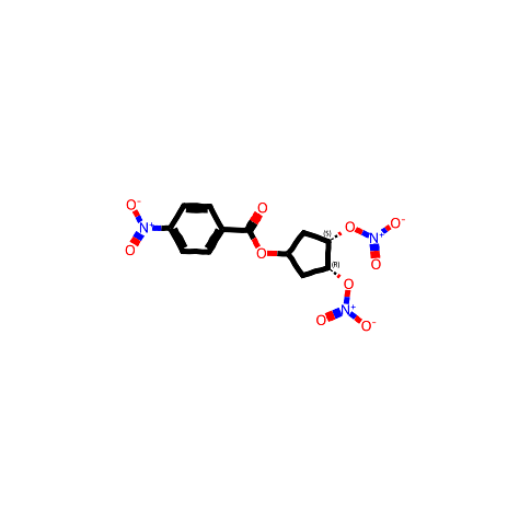 O=C(OC1C[C@H](O[N+](=O)[O-])[C@H](O[N+](=O)[O-])C1)c1ccc([N+](=O)[O-])cc1